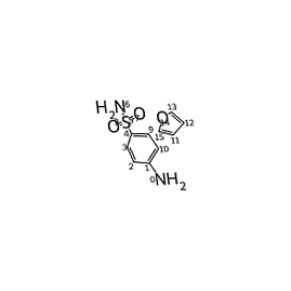 Nc1ccc(S(N)(=O)=O)cc1.c1ccoc1